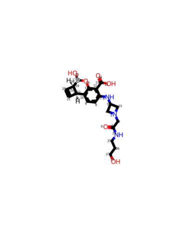 O=C(CN1CC(Nc2ccc3c(c2C(=O)O)OB(O)[C@@H]2C#C[C@H]32)C1)NCCCO